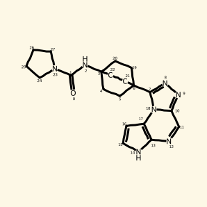 O=C(NC12CCC(c3nnc4cnc5[nH]ccc5n34)(CC1)CC2)N1CCCC1